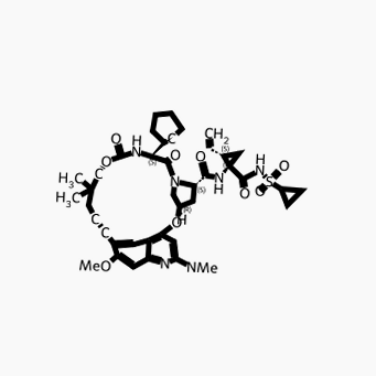 C=C[C@@H]1C[C@]1(NC(=O)[C@@H]1C[C@@H]2CN1C(=O)[C@H](C1CCCCC1)NC(=O)OCC(C)(C)CCCc1cc3c(cc(NC)nc3cc1OC)O2)C(=O)NS(=O)(=O)C1CC1